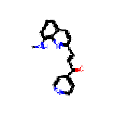 CNc1cccc2ccc(C=CC(=O)c3ccncc3)nc12